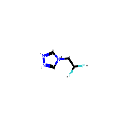 FC(F)Cn1[c]nn[c]1